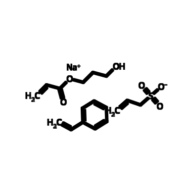 C=CC(=O)OCCCO.C=CCS(=O)(=O)[O-].C=Cc1ccccc1.[Na+]